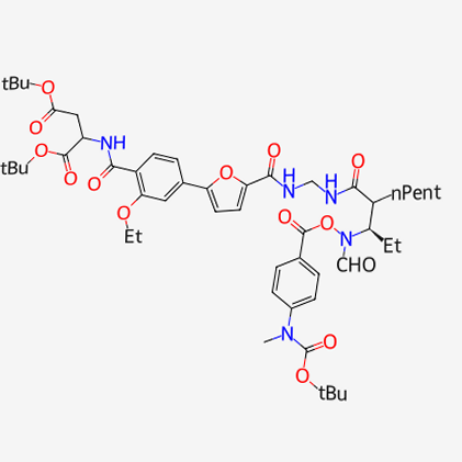 CCCCCC(C(=O)NCNC(=O)c1ccc(-c2ccc(C(=O)NC(CC(=O)OC(C)(C)C)C(=O)OC(C)(C)C)c(OCC)c2)o1)[C@@H](CC)N(C=O)OC(=O)c1ccc(N(C)C(=O)OC(C)(C)C)cc1